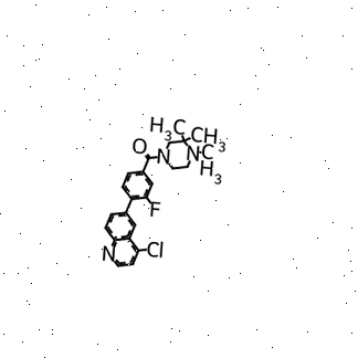 CN1CCN(C(=O)c2ccc(-c3ccc4nccc(Cl)c4c3)c(F)c2)CC1(C)C